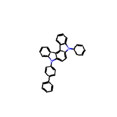 C1=CCC(n2c3ccccc3c3c4c5ccccc5n(-c5ccc(-c6ccccc6)cc5)c4ccc32)C=C1